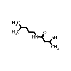 CC(C)CCCNC(=O)CC(C)S